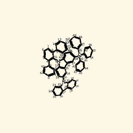 c1ccc(-c2cccc(-c3ccccc3)c2-n2c3ccc(-n4c5ccccc5c5ccccc54)cc3c3cc([Si](c4ccccc4)(c4ccccc4)c4ccccc4)ccc32)cc1